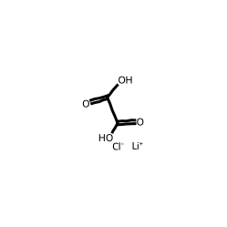 O=C(O)C(=O)O.[Cl-].[Li+]